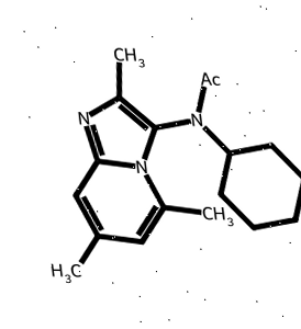 CC(=O)N(c1c(C)nc2cc(C)cc(C)n12)C1CCCCC1